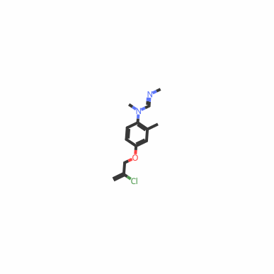 C=C(Cl)COc1ccc(N(C)C=NC)c(C)c1